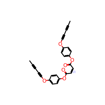 CC#CC#COc1ccc(OC(=O)/C=C\C(=O)Oc2ccc(OC#CC#CC)cc2)cc1